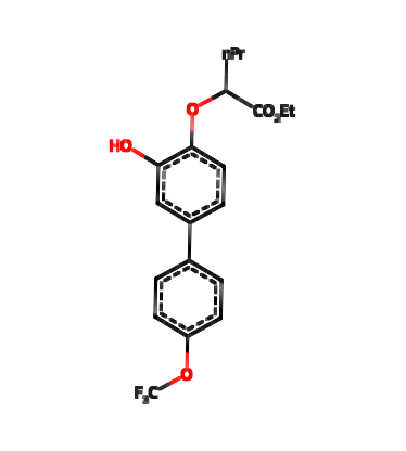 CCCC(Oc1ccc(-c2ccc(OC(F)(F)F)cc2)cc1O)C(=O)OCC